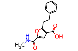 CNC(=O)c1cc(C(=O)O)c(CCc2ccccc2)o1